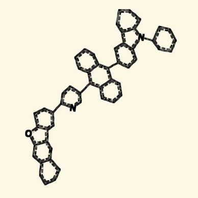 c1ccc(-n2c3ccccc3c3cc(-c4c5ccccc5c(-c5ccc(-c6ccc7oc8cc9ccccc9cc8c7c6)nc5)c5ccccc45)ccc32)cc1